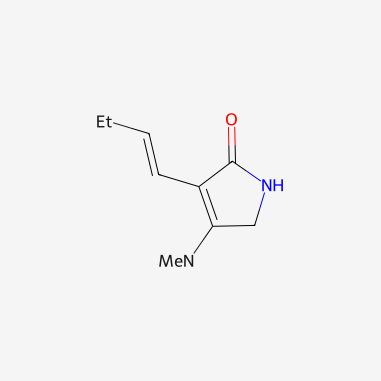 CC/C=C/C1=C(NC)CNC1=O